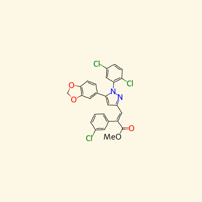 COC(=O)C(=Cc1cc(-c2ccc3c(c2)OCO3)n(-c2cc(Cl)ccc2Cl)n1)c1cccc(Cl)c1